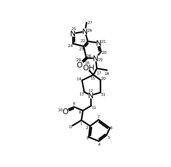 CC(c1ccccc1)C(C=O)CN1CCC(O)(C(C)n2cnc3c(cnn3C)c2=O)CC1